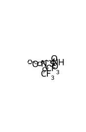 O=C1NC(=O)C(=CC=Cc2cc3cc(OCc4ccccc4)ccc3n2Cc2ccc(C(F)(F)F)cc2C(F)(F)F)S1